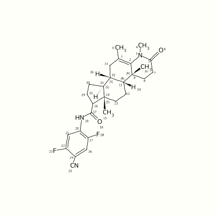 CC1=C2N(C)C(=O)CC[C@]2(C)[C@@H]2CC[C@]3(C)C(C(=O)Nc4cc(F)c(C#N)cc4F)CC[C@H]3[C@@H]2C1